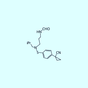 CC(C)CN(CCCNC=O)Sc1ccc(C2(C#N)CC2)cc1